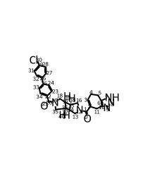 O=C(C1=CCCc2[nH]nnc2C1)N1C[C@@H]2[C@H](C1)[C@H]1CN(C(=O)c3ccc(-c4ccc(Cl)cc4)cc3)C[C@@H]21